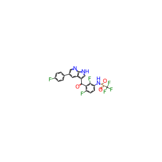 O=C(c1c(F)ccc(NS(=O)(=O)C(F)(F)F)c1F)c1c[nH]c2ncc(-c3ccc(F)cc3)cc12